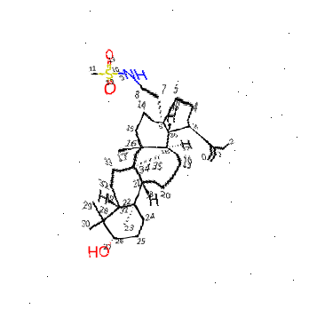 C=C(C)[C@@H]1CC[C@]2(CCNS(C)(=O)=O)CC[C@]3(C)[C@H](CC[C@@H]4[C@@]5(C)CC[C@H](O)C(C)(C)[C@@H]5CC[C@]43C)[C@@H]12